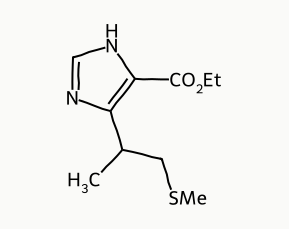 CCOC(=O)c1[nH]cnc1C(C)CSC